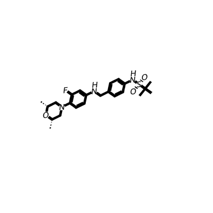 C[C@@H]1CN(c2ccc(NCc3ccc(NS(=O)(=O)C(C)(C)C)cc3)cc2F)C[C@H](C)O1